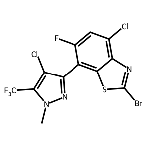 Cn1nc(-c2c(F)cc(Cl)c3nc(Br)sc23)c(Cl)c1C(F)(F)F